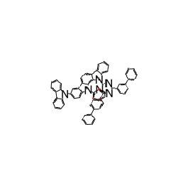 c1ccc(-c2ccc(-c3nc(-c4cccc(-c5ccccc5)c4)nc(-n4c5ccccc5c5ccc6c7cc(-n8c9ccccc9c9ccccc98)ccc7n(-c7ccccc7)c6c54)n3)cc2)cc1